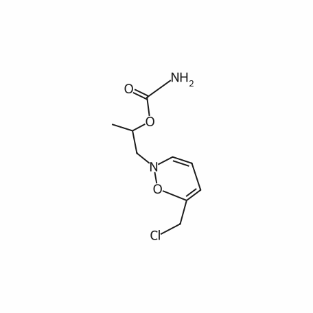 CC(CN1C=CC=C(CCl)O1)OC(N)=O